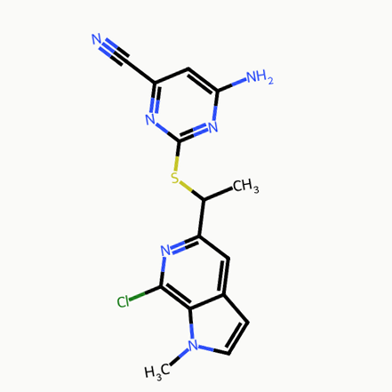 CC(Sc1nc(N)cc(C#N)n1)c1cc2ccn(C)c2c(Cl)n1